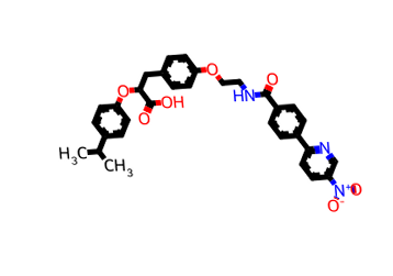 CC(C)c1ccc(OC(Cc2ccc(OCCNC(=O)c3ccc(-c4ccc([N+](=O)[O-])cn4)cc3)cc2)C(=O)O)cc1